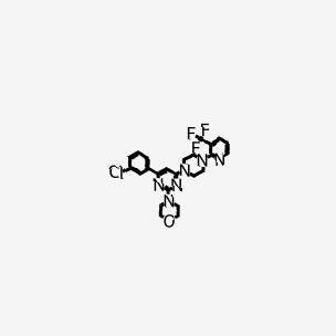 FC(F)(F)c1cccnc1N1CCN(c2cc(-c3cccc(Cl)c3)nc(N3CCOCC3)n2)CC1